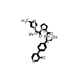 Cc1cn([C@H](C(=O)N2CCC[C@H]2C(=O)N[C@@H](CO)c2ccc(-c3ccncc3Cl)cc2)C(C)C)cn1